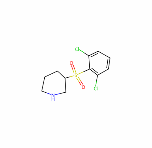 O=S(=O)(c1c(Cl)cccc1Cl)C1CCCNC1